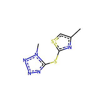 Cc1csc(Sc2nnnn2C)n1